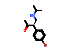 CC(=O)[C@H](CNC(C)C)c1ccc(Br)cc1